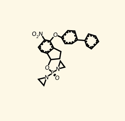 O=[N+]([O-])c1ccc2c(c1Oc1ccc(-c3ccccc3)cc1)CCC2OP(=O)(N1CC1)N1CC1